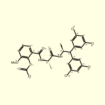 CCC(=O)Oc1c(OC)ccnc1C(=O)N[C@@H](C)C(=O)N[C@@H](C)C(c1cc(Cl)cc(Cl)c1)c1cc(Cl)cc(Cl)c1